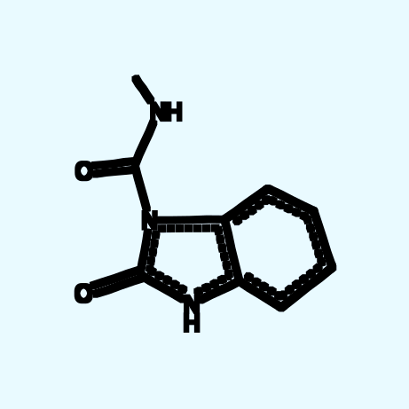 CNC(=O)n1c(=O)[nH]c2ccccc21